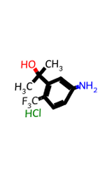 CC(C)(O)c1cc(N)ccc1C(F)(F)F.Cl